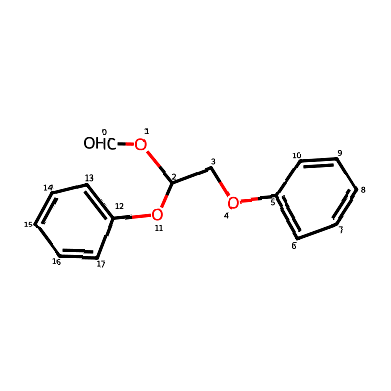 O=COC(COc1ccccc1)Oc1ccccc1